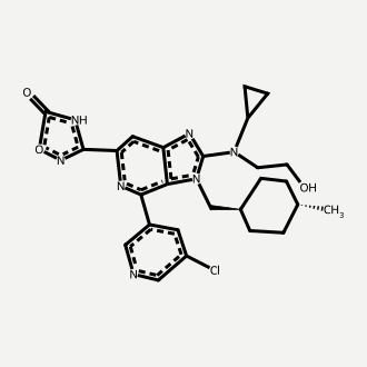 C[C@H]1CC[C@H](Cn2c(N(CCO)C3CC3)nc3cc(-c4noc(=O)[nH]4)nc(-c4cncc(Cl)c4)c32)CC1